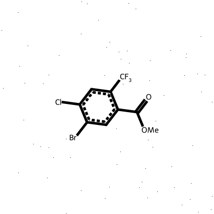 COC(=O)c1cc(Br)c(Cl)cc1C(F)(F)F